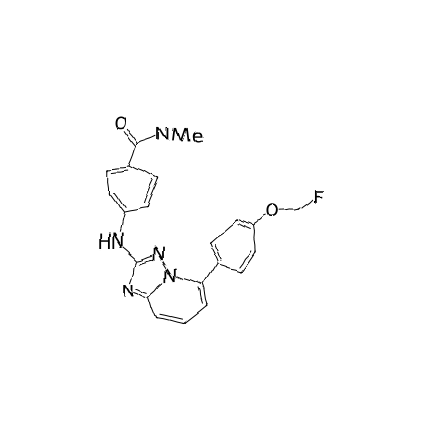 CNC(=O)c1ccc(Nc2nc3cccc(-c4ccc(OCF)cc4)n3n2)cc1